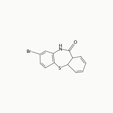 O=C1Nc2cc(Br)ccc2SC2C=CC=CC12